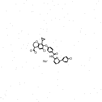 O=C(Nc1cccc(-c2ccc(Cl)cc2)n1)c1ccc(Oc2c(Cl)cc3c(c2C2CC2)OCCC3C(=O)[O-])cc1.[Na+]